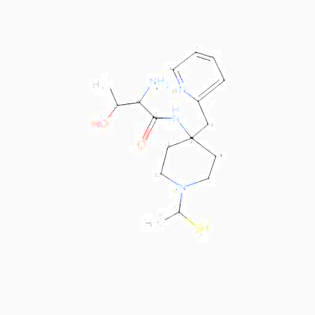 CC(O)C(N)C(=O)NC1(Cc2ccccn2)CCN(C(C)S)CC1